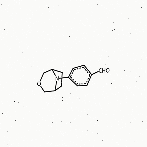 O=Cc1ccc(N2C3CCC2COC3)cc1